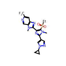 CCS(=O)(=O)c1c(-c2nc3cc(C(F)(F)F)ncc3n2C)nc(-c2cnn(C3CC3)c2)n1C